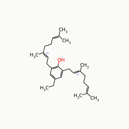 CCc1cc(C/C=C(\C)CCC=C(C)C)c(O)c(C/C=C(\C)CCC=C(C)C)c1